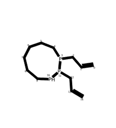 C=CCP1CCCCCCPP1CC=C